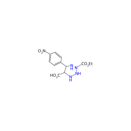 CCOC(=O)N1NNC(C(=O)O)C(c2ccc([N+](=O)[O-])cc2)N1